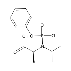 CC(C)N([C@@H](C)C(=O)O)P(=O)(Cl)Oc1ccccc1